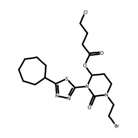 O=C(CCCCl)OC1CCN(CCBr)C(=O)N1c1nnc(C2CCCCCC2)s1